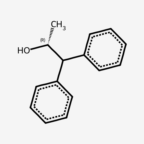 C[C@@H](O)C(c1ccccc1)c1ccccc1